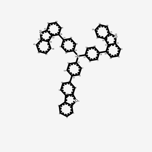 c1ccc2c(c1)oc1cc(-c3ccc(N(c4ccc(-c5cccc6oc7ccccc7c56)cc4)c4ccc(-c5cccc6sc7ccccc7c56)cc4)cc3)ccc12